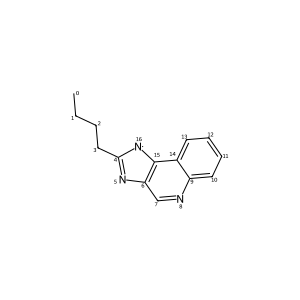 CCCCC1=Nc2cnc3ccccc3c2[N]1